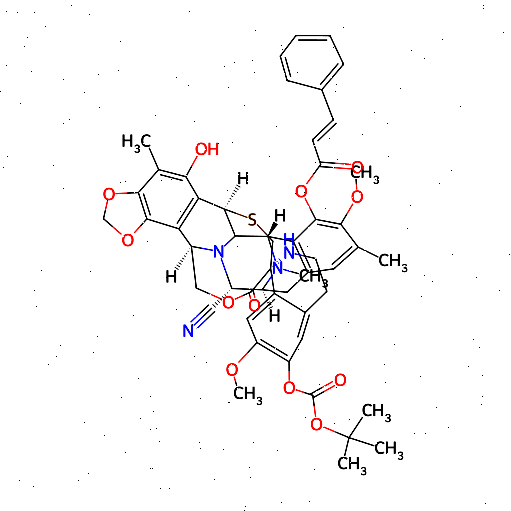 COc1cc2c(cc1OC(=O)OC(C)(C)C)CCN[C@]21CS[C@@H]2c3c(O)c(C)c4c(c3[C@H](COC1=O)N1C2[C@@H]2c3c(cc(C)c(OC)c3OC(=O)/C=C/c3ccccc3)C[C@@H]([C@@H]1C#N)N2C)OCO4